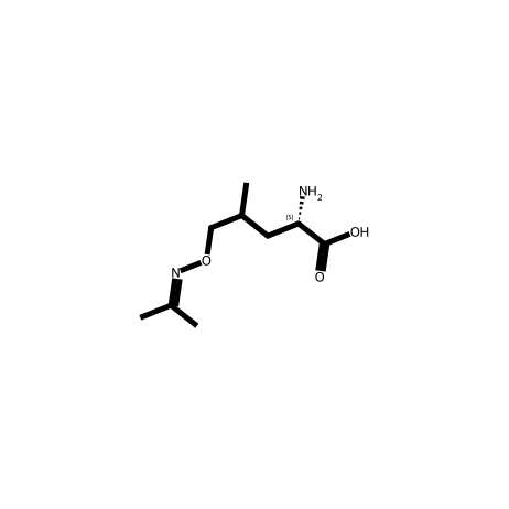 CC(C)=NOCC(C)C[C@H](N)C(=O)O